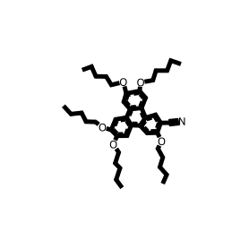 CCCCCOc1cc2c(cc1C#N)c1cc(OCCCCC)c(OCCCCC)cc1c1cc(OCCCCC)c(OCCCCC)cc21